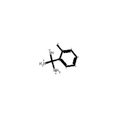 Cc1ccccc1C(N)(N)S